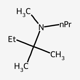 CCCN(C)C(C)(C)CC